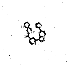 CC(C)CC1(CNC(=O)c2ccnc(-c3cnn4ccc(-c5cccs5)nc34)c2)CCCN1